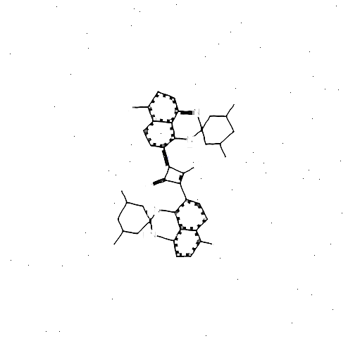 CC1CC(C)CC2(C1)N=c1ccc(Cl)c3cc/c(=C4\C(=O)C(c5ccc6c(Cl)ccc7c6c5NC5(CC(C)CC(C)C5)N7)=C4O)c(c13)N2